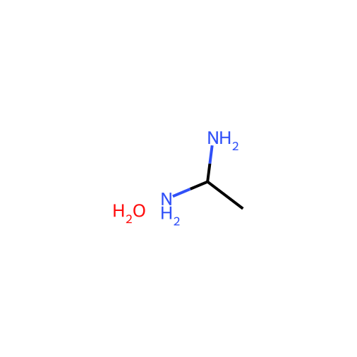 CC(N)N.O